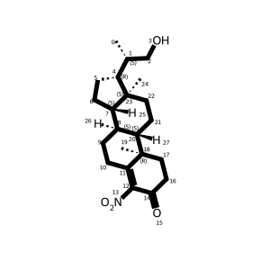 C[C@H](CO)[C@H]1CC[C@H]2[C@@H]3CCC4=C([N+](=O)[O-])C(=O)CC[C@]4(C)[C@H]3CC[C@]12C